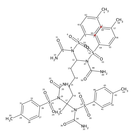 Cc1ccc(S(=O)(=O)N(C(N)=O)C(CCCCC(C)(N(C(N)=O)S(=O)(=O)c2ccc(C)cc2)N(C(N)=O)S(=O)(=O)c2ccc(C)cc2)N(C(N)=O)S(=O)(=O)c2ccc(C)cc2)cc1